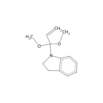 C=CC(OC)(OC)N1CCc2ccccc21